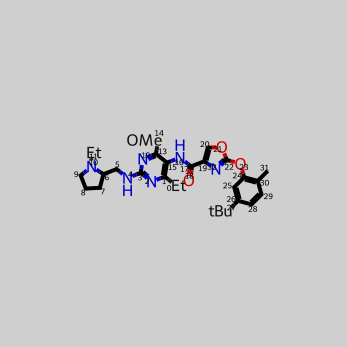 CCc1nc(NCC2CCCN2CC)nc(OC)c1NC(=O)c1coc(Oc2cc(C(C)(C)C)ccc2C)n1